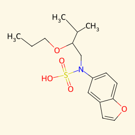 CCCOC(CN(c1ccc2occc2c1)S(=O)(=O)O)C(C)C